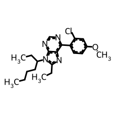 CCCCC(CC)n1c(CC)nc2c(-c3ccc(OC)cc3Cl)ncnc21